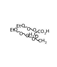 C=C(OCCOCCOCC)C(=O)O.C=CC(=O)OCCOCCOCCOCC